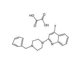 Fc1cc(N2CCN(Cc3ccccc3)CC2)nc2ccccc12.O=C(O)C(=O)O